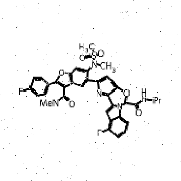 CNC(=O)c1c(-c2ccc(F)cc2)oc2cc(N(C)S(C)(=O)=O)c(-c3ccc4c(n3)-c3cc5c(F)cccc5n3C(C(=O)NC(C)C)O4)cc12